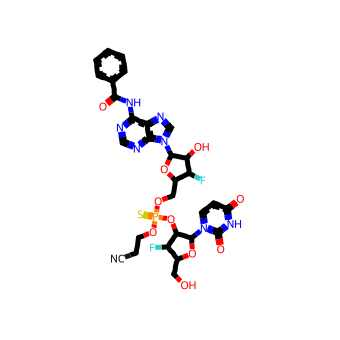 N#CCCOP(=S)(OCC1OC(n2cnc3c(NC(=O)c4ccccc4)ncnc32)C(O)C1F)OC1C(F)C(CO)OC1n1ccc(=O)[nH]c1=O